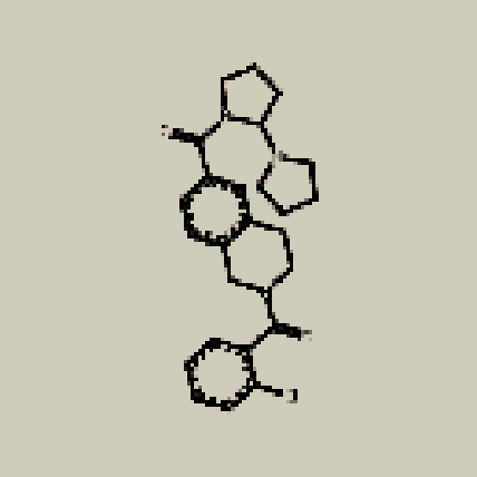 O=C(c1ccccc1Cl)N1CCc2cc(C(=O)N3CCCC3N3CCCC3)ccc2C1